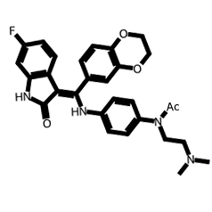 CC(=O)N(CCN(C)C)c1ccc(N/C(=C2\C(=O)Nc3cc(F)ccc32)c2ccc3c(c2)OCCO3)cc1